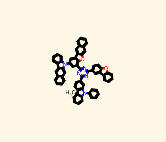 CC12C=CC=CC1N(c1ccccc1)c1cc(-c3nc(-c4ccc5oc6ccccc6c5c4)nc(-c4cc(-n5c6ccccc6c6cc7ccccc7cc65)cc5c4oc4cc6ccccc6cc45)n3)ccc12